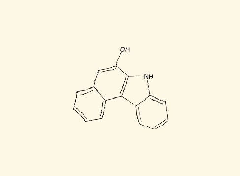 Oc1cc2ccccc2c2c1[nH]c1ccccc12